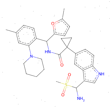 Cc1ccc(C(NC(=O)C2(c3ccc4[nH]cc(C(N)S(C)(=O)=O)c4c3)CC2)c2ccc(C)o2)c(N2CCCCC2)c1